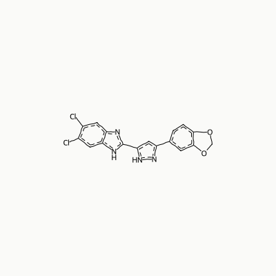 Clc1cc2nc(-c3cc(-c4ccc5c(c4)OCO5)n[nH]3)[nH]c2cc1Cl